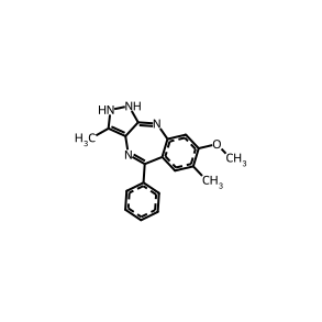 COc1cc2c(cc1C)C(c1ccccc1)=NC1=C(C)NNC1=N2